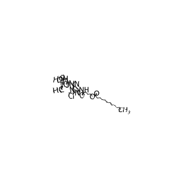 C#C[C@]1(CO)O[C@@H](n2cnc3c(NC(=O)CCCOC(=O)CCCCCCCCCCC)nc(Cl)nc32)C[C@@H]1O